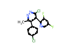 Cc1nnc(Cl)c(-c2ncc(F)cc2F)c1-c1ccc(Cl)cc1